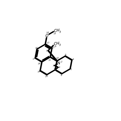 CCN1CCC23CCCCC12c1cc(OC)ccc1CC3